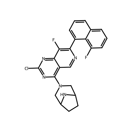 Fc1c(-c2cccc3cccc(F)c23)ncc2c(N3CC4CCC(C3)N4)nc(Cl)nc12